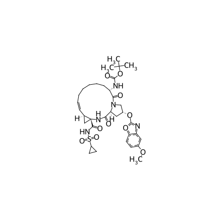 COc1ccc2oc(O[C@@H]3C[C@H]4C(=O)N[C@]5(C(=O)NS(=O)(=O)C6CC6)C[C@H]5/C=C\CCCCC[C@H](NC(=O)OC(C)(C)C)C(=O)N4C3)nc2c1